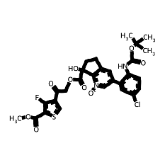 COC(=O)c1scc(C(=O)COC(=O)C2(O)CCc3cc(-c4cc(Cl)ccc4NC(=O)OC(C)(C)C)c[n+]([O-])c32)c1F